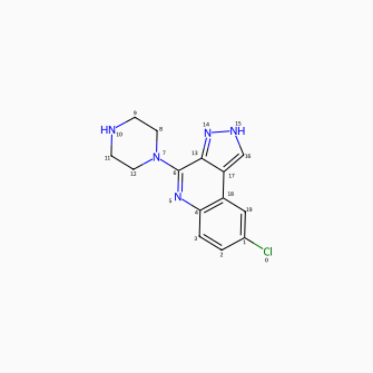 Clc1ccc2nc(N3CCNCC3)c3n[nH]cc3c2c1